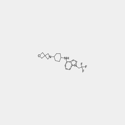 FC(F)(F)Cn1ccc2c(NC3CCC(N4CC5(COC5)C4)CC3)cccc21